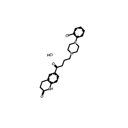 Cl.O=C1CCc2cc(C(=O)CCCN3CCN(c4ccccc4Cl)CC3)ccc2N1